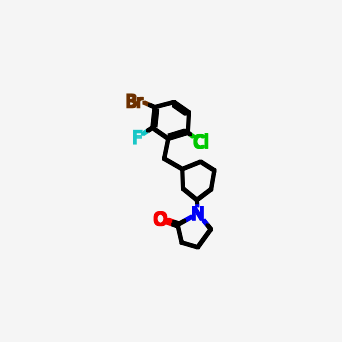 O=C1CCCN1C1CCCC(Cc2c(Cl)ccc(Br)c2F)C1